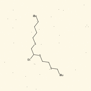 CCC(C)CCCCSCC(CC)SCCSCC(C)CC